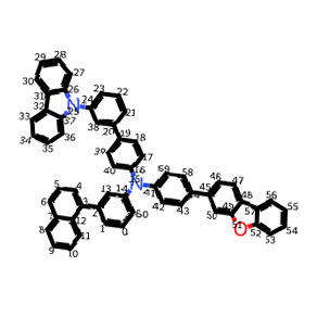 c1cc(-c2cccc3ccccc23)cc(N(c2ccc(-c3cccc(-n4c5ccccc5c5ccccc54)c3)cc2)c2ccc(-c3ccc4c(c3)oc3ccccc34)cc2)c1